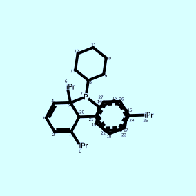 CC(C)C1=CC=CC(C(C)C)(P(C2CCCCC2)C2CCCCC2)C1c1ccc(C(C)C)cc1